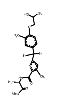 CCC(CC)(c1ccc(OCC(O)C(C)(C)C)c(C)c1)c1cc(C)c(C(=O)N[C@H](C)C(=O)OC)s1